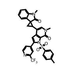 Cc1ccc(S(=O)(=O)n2c(-c3ccnc(C(F)(F)F)c3)cc3c(C4CC45C(=O)N(C)c4ccccc45)cn(C)c(=O)c32)cc1